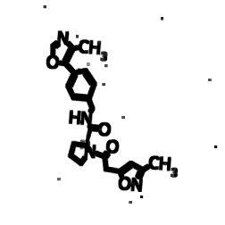 Cc1cc(CC(=O)N2CCC[C@H]2C(=O)NCc2ccc(-c3ocnc3C)cc2)on1